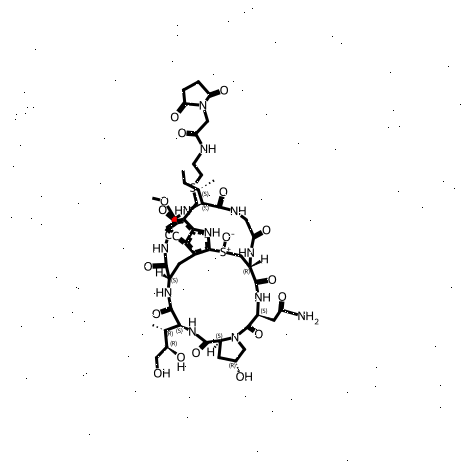 CC[C@H](C)[C@@H]1NC(=O)CNC(=O)[C@@H]2Cc3c([nH]c4c(CSCCNC(=O)CN5C(=O)CCC5=O)c(OC)ccc34)[S+]([O-])C[C@H](NC(=O)CNC1=O)C(=O)N[C@@H](CC(N)=O)C(=O)N1C[C@H](O)C[C@H]1C(=O)N[C@@H]([C@@H](C)[C@@H](O)CO)C(=O)N2